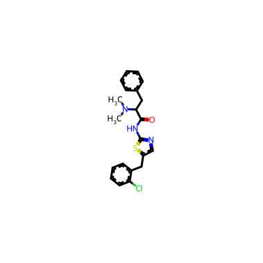 CN(C)C(Cc1ccccc1)C(=O)Nc1ncc(Cc2ccccc2Cl)s1